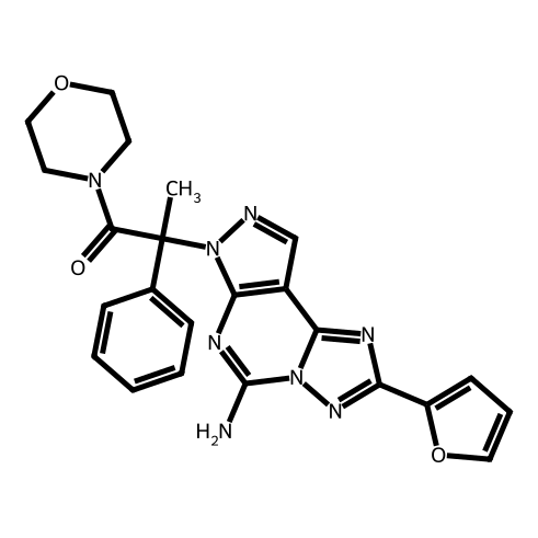 CC(C(=O)N1CCOCC1)(c1ccccc1)n1ncc2c1nc(N)n1nc(-c3ccco3)nc21